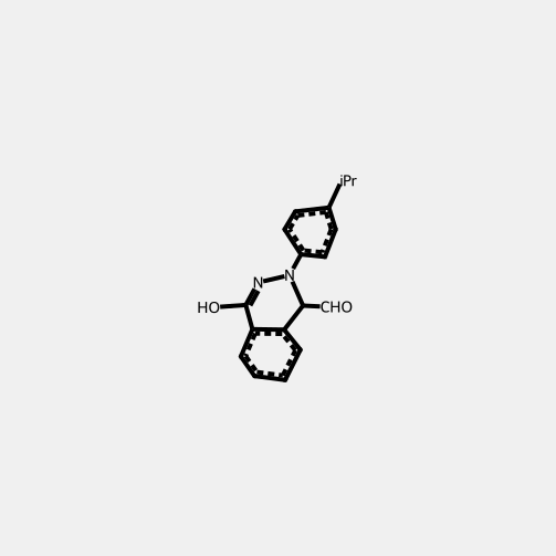 CC(C)c1ccc(N2N=C(O)c3ccccc3C2C=O)cc1